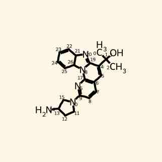 CC(C)(O)C1=Cc2ccc(N3CCC(N)C3)nc2N2C1=NC1C=CC=CC12